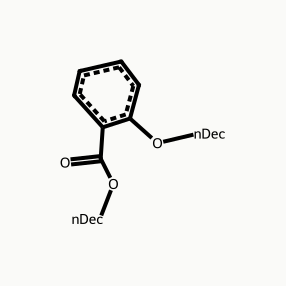 CCCCCCCCCCOC(=O)c1ccccc1OCCCCCCCCCC